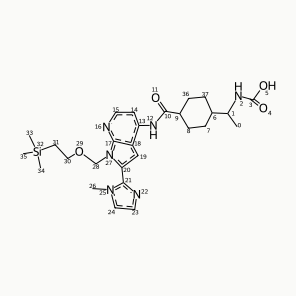 CC(NC(=O)O)C1CCC(C(=O)Nc2ccnc3c2cc(-c2nccn2C)n3COCC[Si](C)(C)C)CC1